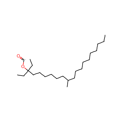 CCCCCCCCCCC(C)CCCCCCC(CC)(CC)O[C]=O